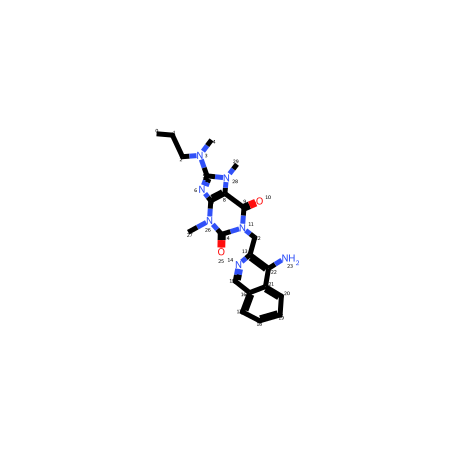 CCCN(C)c1nc2c(c(=O)n(Cc3ncc4ccccc4c3N)c(=O)n2C)n1C